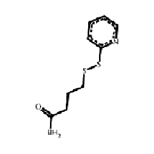 BC(=O)CCCSSc1ccccn1